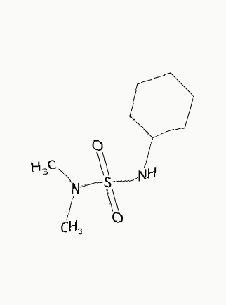 CN(C)S(=O)(=O)NC1CCCCC1